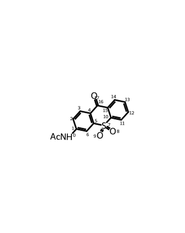 CC(=O)Nc1ccc2c(c1)S(=O)(=O)c1ccccc1C2=O